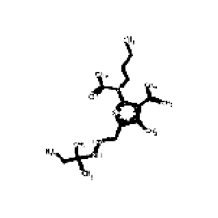 C=C(C)c1c(N(CCCC)C(C)=O)sc(CNNC(C)(C)CC)c1C